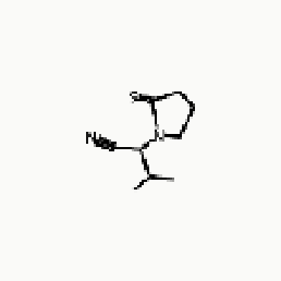 CC(C)C(C#N)N1CCCC1=S